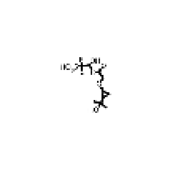 CC(C)(O)C1CC1OCC(=O)OC(O)C(F)(F)S(=O)(=O)O